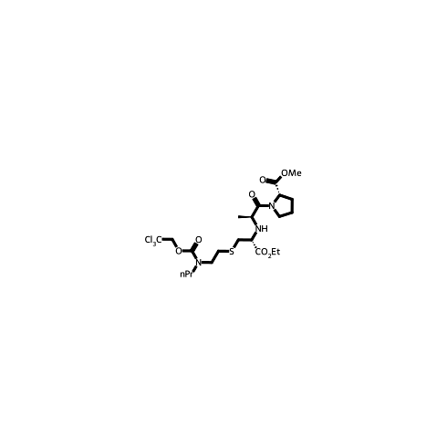 CCCN(CCSC[C@H](N[C@@H](C)C(=O)N1CCC[C@H]1C(=O)OC)C(=O)OCC)C(=O)OCC(Cl)(Cl)Cl